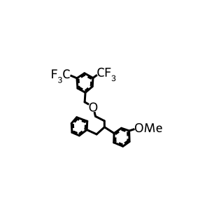 COc1cccc(C(CCOCc2cc(C(F)(F)F)cc(C(F)(F)F)c2)Cc2ccccc2)c1